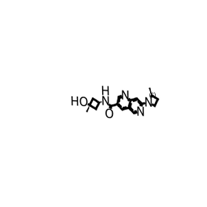 C[C@H]1CCN1c1cc2ncc(C(=O)N[C@H]3C[C@@](C)(O)C3)cc2cn1